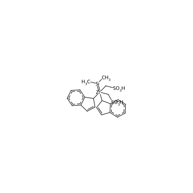 C[Si](C)=[Zr]([CH2]S(=O)(=O)O)([CH2]S(=O)(=O)O)([CH]1C=Cc2ccccc21)[CH]1C=Cc2ccccc21